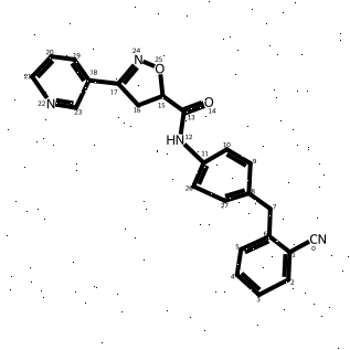 N#Cc1ccccc1Cc1ccc(NC(=O)C2CC(c3cccnc3)=NO2)cc1